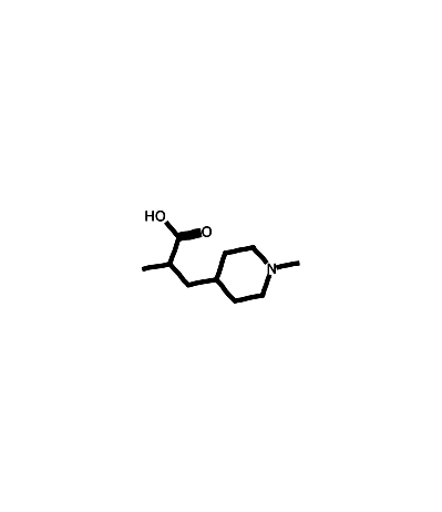 CC(CC1CCN(C)CC1)C(=O)O